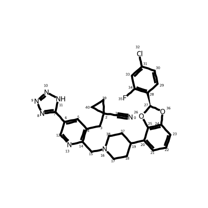 N#CC1(Cc2cc(-c3nnn[nH]3)cnc2CN2CCC(c3cccc4c3O[C@@H](c3ccc(Cl)cc3F)O4)CC2)CC1